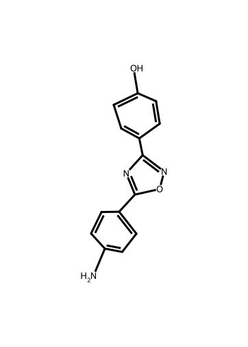 Nc1ccc(-c2nc(-c3ccc(O)cc3)no2)cc1